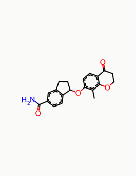 Cc1c(OC2CCc3cc(C(N)=O)ccc32)ccc2c1OCCC2=O